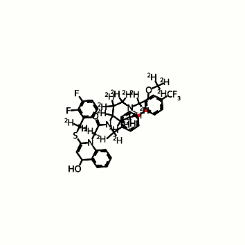 [2H]C([2H])([2H])OCC([2H])([2H])N1C([2H])([2H])C([2H])([2H])C([2H])(N(C(=O)C([2H])([2H])N2C(SC([2H])([2H])c3cccc(F)c3F)=CC(O)c3ccccc32)C([2H])(C)c2ccc(-c3ccc(C(F)(F)F)cc3)cc2)C([2H])([2H])C1([2H])[2H]